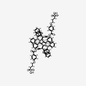 N#C/C(c1nc2ccccc2o1)=c1\c2c(-c3cccc(OC(=O)c4ccc(OCCCS(=O)(=O)O)cc4)c3)n(B(c3ccccc3)c3ccccc3)/c(=C(/C#N)c3nc4ccccc4o3)c2c(-c2cccc(OC(=O)c3ccc(OCCCS(=O)(=O)O)cc3)c2)n1B(c1ccccc1)c1ccccc1